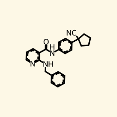 N#CC1(c2ccc(NC(=O)c3cccnc3NCc3ccccc3)cc2)CCCC1